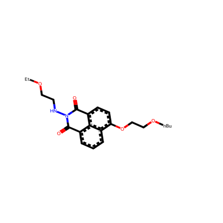 CCCCOCCOc1ccc2c3c(cccc13)C(=O)N(NCCOCC)C2=O